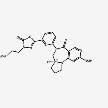 CNc1ncc2c(n1)N1CCC[C@H]1CN(c1cccc(-c3nn(CCOC)c(=O)o3)c1)C2=O